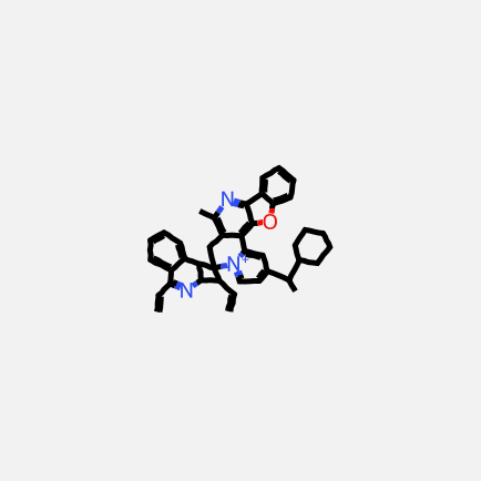 C=CC1=NC2C(C=C)C3(Cc4c(C)nc5c(oc6ccccc65)c4-c4cc(C(C)C5CCCCC5)cc[n+]43)C2c2ccccc21